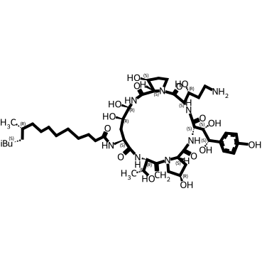 C=C1[C@H]([C@@H](C)O)NC(=O)[C@@H](NC(=O)CCCCCCCC[C@@H](C)C[C@@H](C)CC)C[C@@H](O)[C@@H](O)NC(=O)[C@@H]2[C@@H](O)CCN2C(=O)[C@H]([C@H](O)CCN)NC(=O)[C@H]([C@H](O)[C@@H](O)c2ccc(O)cc2)NC(=O)[C@@H]2C[C@@H](O)CN12